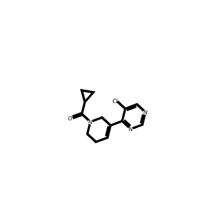 O=C(C1CC1)N1CCC=C(c2ncncc2Cl)C1